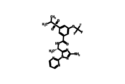 CC(C)S(=O)(=O)c1cc(OC(F)(F)F)cc(C(=O)N[C@@H](C)c2nc(N)nn2-c2ncccn2)c1